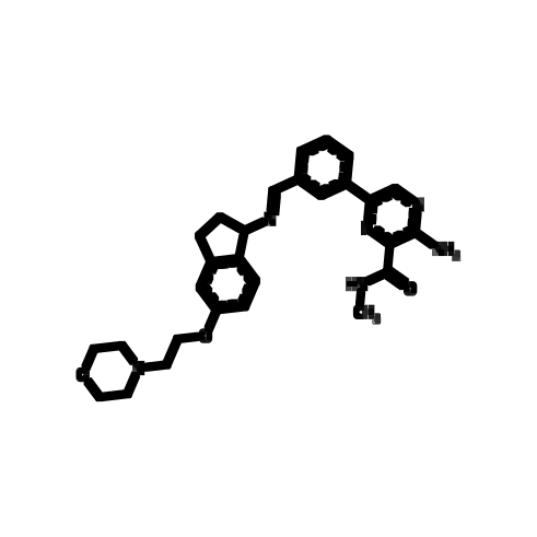 CNC(=O)c1nc(-c2cccc(C=NC3CCc4cc(OCCN5CCOCC5)ccc43)c2)cnc1N